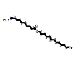 CCCCCCCC/C=C\CCCCCCCC(=O)OCCCCCCCCCCCCC(C)C